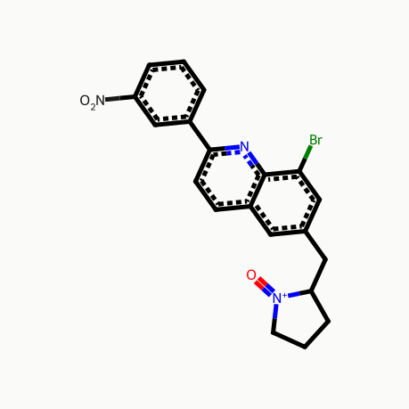 O=[N+]([O-])c1cccc(-c2ccc3cc(CC4CCC[N+]4=O)cc(Br)c3n2)c1